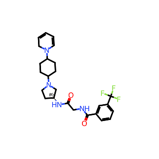 O=C(CNC(=O)c1cccc(C(F)(F)F)c1)N[C@@H]1CCN(C2CCC(N3C=CC=CC3)CC2)C1